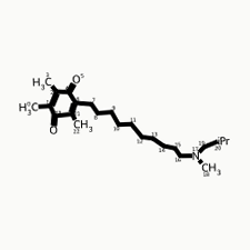 CC1=C(C)C(=O)C(CCCCCCCCCCN(C)CC(C)C)=C(C)C1=O